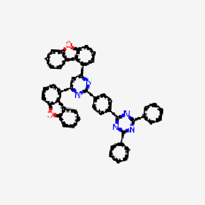 c1ccc(-c2nc(-c3ccccc3)nc(-c3ccc(-c4nc(-c5cccc6oc7ccccc7c56)cc(-c5cccc6oc7ccccc7c56)n4)cc3)n2)cc1